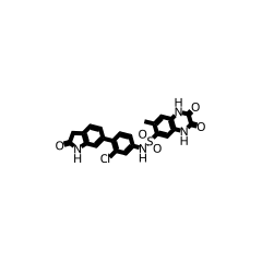 Cc1cc2[nH]c(=O)c(=O)[nH]c2cc1S(=O)(=O)Nc1ccc(-c2ccc3c(c2)NC(=O)C3)c(Cl)c1